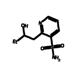 CCC(O)Cc1ncccc1S(N)(=O)=O